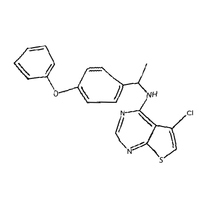 CC(Nc1ncnc2scc(Cl)c12)c1ccc(Oc2ccccc2)cc1